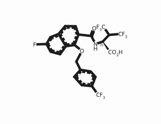 O=C(N[C@H](C(=O)O)C(C(F)(F)F)C(F)(F)F)c1ccc2cc(F)ccc2c1OCc1ccc(C(F)(F)F)cc1